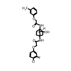 Cc1cccc(OCC(=O)NC23CCC(NC(=O)COc4ccc(Cl)c(F)c4)(CC2)C[C@@H]3O)c1